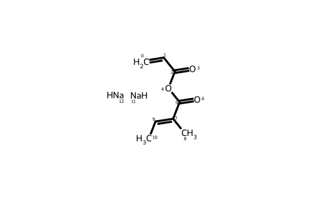 C=CC(=O)OC(=O)C(C)=CC.[NaH].[NaH]